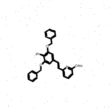 COc1cccc(C=Cc2cc(OCc3ccccc3)c(C(C)C)c(OCc3ccccc3)c2)n1